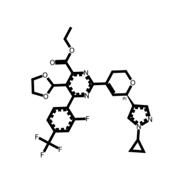 CCOC(=O)c1nc(C2=C[C@H](c3cnn(C4CC4)c3)OCC2)nc(-c2ccc(C(F)(F)F)cc2F)c1C1OCCO1